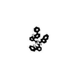 C1=C(c2nc(-c3ccc4ccccc4c3)nc(-c3cccc4oc5c(-c6ccccc6)cccc5c34)n2)c2oc3ccccc3c2CC1